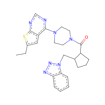 CCc1cc2c(N3CCN(C(=O)C4CCCC4Cn4nnc5ccccc54)CC3)ncnc2s1